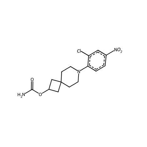 NC(=O)OC1CC2(CCN(c3ccc([N+](=O)[O-])cc3Cl)CC2)C1